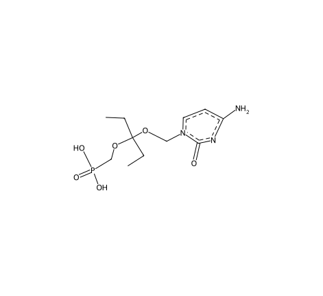 CCC(CC)(OCn1ccc(N)nc1=O)OCP(=O)(O)O